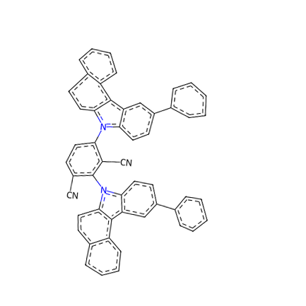 N#Cc1ccc(-n2c3ccc(-c4ccccc4)cc3c3c4ccccc4ccc32)c(C#N)c1-n1c2ccc(-c3ccccc3)cc2c2c3ccccc3ccc21